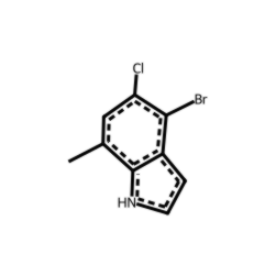 Cc1cc(Cl)c(Br)c2cc[nH]c12